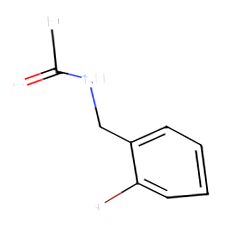 CCC(=O)NCc1ccccc1Br